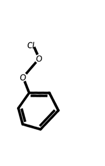 ClOOc1ccccc1